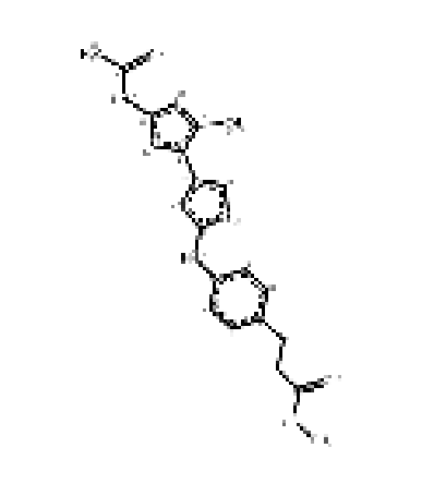 COC(=O)CCc1ccc(Nc2nc(-c3sc(NC(C)=O)nc3C)cs2)cc1